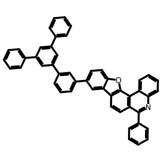 c1ccc(-c2cc(-c3ccccc3)cc(-c3cccc(-c4ccc5oc6c(ccc7c(-c8ccccc8)nc8ccccc8c76)c5c4)c3)c2)cc1